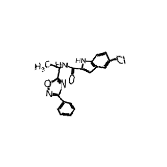 CC(NC(=O)c1cc2cc(Cl)ccc2[nH]1)c1nc(-c2ccccc2)no1